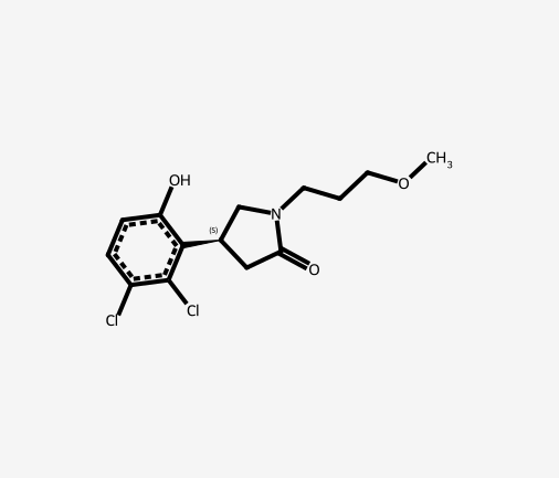 COCCCN1C[C@H](c2c(O)ccc(Cl)c2Cl)CC1=O